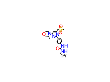 CC(C)CNC(=O)Nc1ccc(-c2nc(CS(C)(=O)=O)cc(N3CCOC[C@@H]3C)n2)cc1